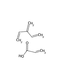 C=CC(=C)C=C.C=CC(=O)O